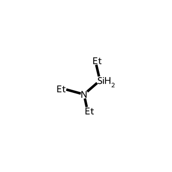 CC[SiH2]N(CC)CC